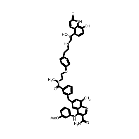 COc1cccc(Nc2c(C(N)=O)cnc3c(C)cc(Cc4cccc(C(=O)N(C)CCOc5ccc(CCNC[C@H](O)c6ccc(O)c7[nH]c(=O)ccc67)cc5)c4)cc23)c1